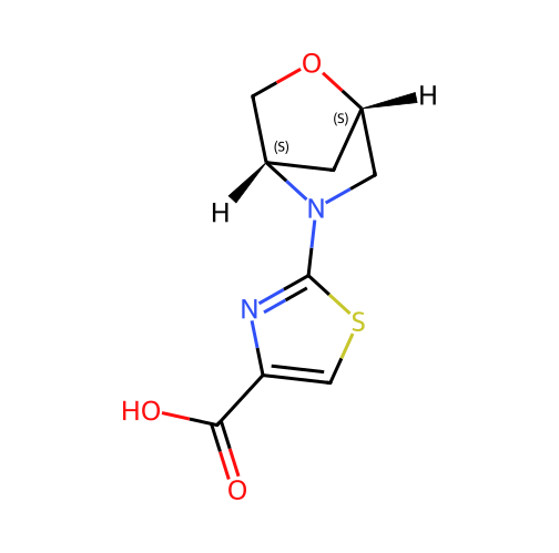 O=C(O)c1csc(N2C[C@@H]3C[C@H]2CO3)n1